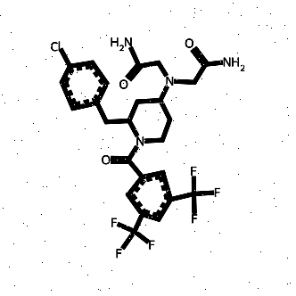 NC(=O)CN(CC(N)=O)C1CCN(C(=O)c2cc(C(F)(F)F)cc(C(F)(F)F)c2)C(Cc2ccc(Cl)cc2)C1